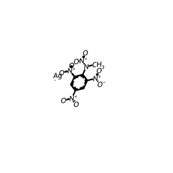 CN(c1c([N+](=O)[O-])cc([N+](=O)[O-])cc1[N+](=O)[O-])[N+](=O)[O-].[Ag]